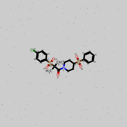 CC(C)(C(=O)N1CCC(S(=O)(=O)c2ccccc2)CC1)S(=O)(=O)c1ccc(Cl)cc1